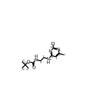 Cc1cc(NCCNC(=O)OC(C)(C)C)nc(Cl)n1